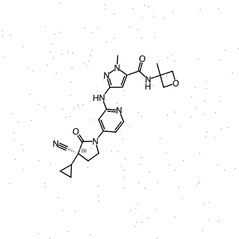 Cn1nc(Nc2cc(N3CC[C@@](C#N)(C4CC4)C3=O)ccn2)cc1C(=O)NC1(C)COC1